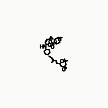 CC(/C=C/[C@@H]1C[C@]2(CO2)CC(C)(C)O1)=C\C[C@H]1CC[C@H](NC(=O)/C=C\C2(OC(=O)N3CCN(C)CC3)CC2)CC1